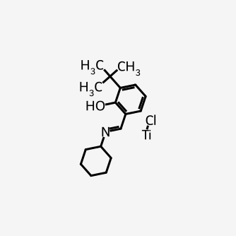 CC(C)(C)c1cccc(C=NC2CCCCC2)c1O.[Cl][Ti]